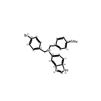 CSc1ccc(CN(Cc2ccc(Br)cc2)c2ccc3[nH]cnc3c2)cc1